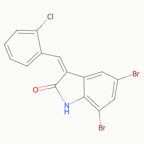 O=C1Nc2c(Br)cc(Br)cc2C1=Cc1ccccc1Cl